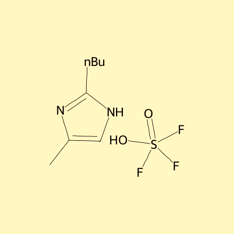 CCCCc1nc(C)c[nH]1.O=S(O)(F)(F)F